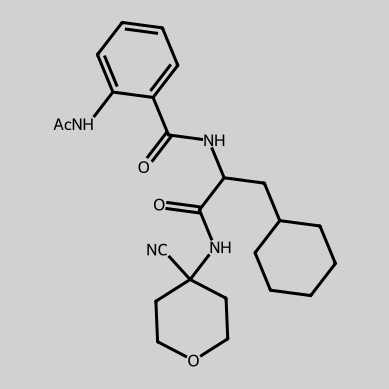 CC(=O)Nc1ccccc1C(=O)NC(CC1CCCCC1)C(=O)NC1(C#N)CCOCC1